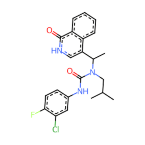 CC(C)CN(C(=O)Nc1ccc(F)c(Cl)c1)C(C)c1c[nH]c(=O)c2ccccc12